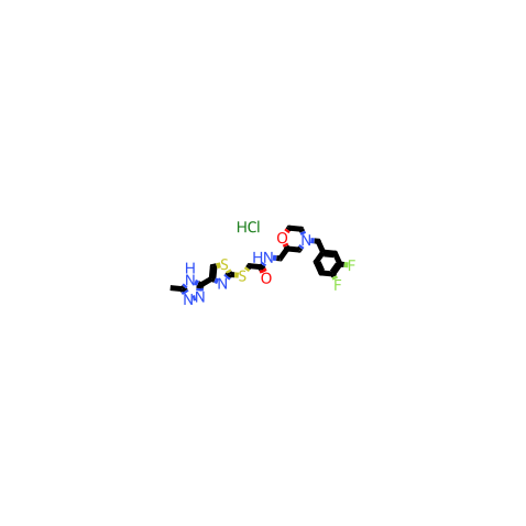 Cc1nnc(-c2csc(SCC(=O)NCC3CN(Cc4ccc(F)c(F)c4)CCO3)n2)[nH]1.Cl